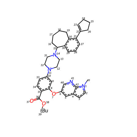 Cn1ccc2cc(Oc3cc(N4CCN(C5CCCCc6c(C7=CCCC7)cccc65)CC4)ccc3C(=O)OC(C)(C)C)cnc21